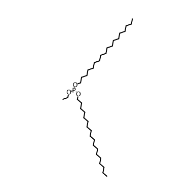 CCCCCCCCCCCCCCCCCCOP(OCC)OCCCCCCCCCCCCCCCCCC